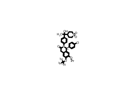 [2H]C([2H])([2H])Oc1cc2c(cc1OC(C)C)[C@H](c1ccc(Cl)cc1)N(c1ccc(C(C)(O)C3CCS(=O)(=O)CC3)cc1)C(=O)C2